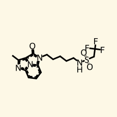 Cc1nc2cccc3n(CCCCCNS(=O)(=O)CC(F)(F)F)c(=O)c1n23